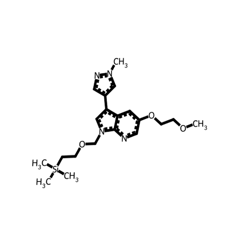 COCCOc1cnc2c(c1)c(-c1cnn(C)c1)cn2COCC[Si](C)(C)C